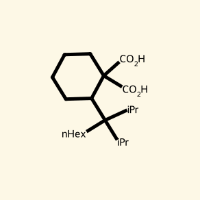 CCCCCCC(C(C)C)(C(C)C)C1CCCCC1(C(=O)O)C(=O)O